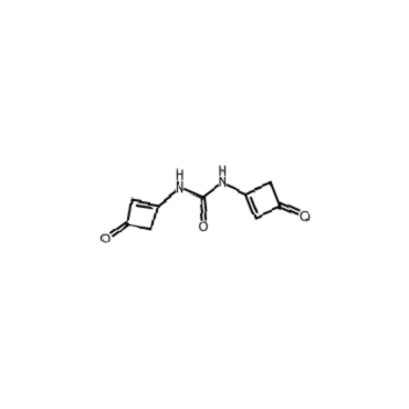 O=C1C=C(NC(=O)NC2=CC(=O)C2)C1